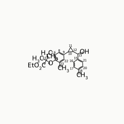 CCOC(=O)C(C)(C)Oc1c(C)cc(C2CC2C(O)c2ccc(C)cc2)cc1C